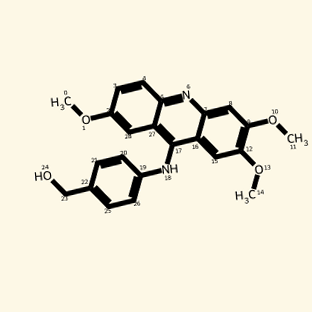 COc1ccc2nc3cc(OC)c(OC)cc3c(Nc3ccc(CO)cc3)c2c1